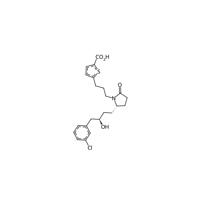 O=C(O)c1ccc(CCCN2C(=O)CC[C@@H]2CC[C@@H](O)Cc2cccc(Cl)c2)s1